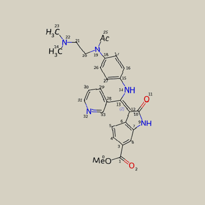 COC(=O)c1ccc2c(c1)NC(=O)/C2=C(\Nc1ccc(N(CCN(C)C)C(C)=O)cc1)c1cccnc1